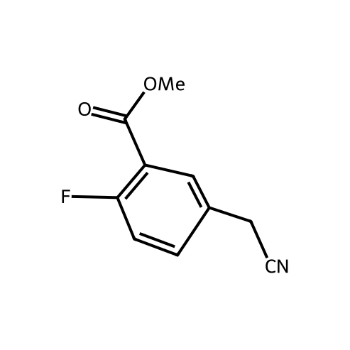 COC(=O)c1cc(CC#N)ccc1F